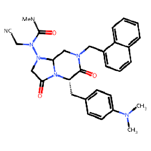 CNC(=O)N(CC#N)N1CC(=O)N2C1CN(Cc1cccc3ccccc13)C(=O)[C@@H]2Cc1ccc(N(C)C)cc1